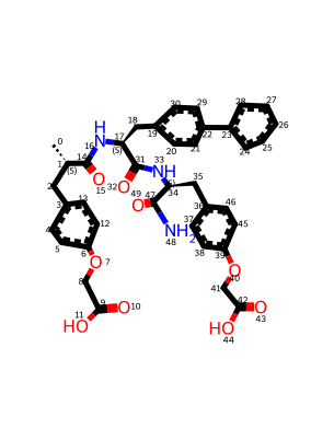 C[C@@H](Cc1ccc(OCC(=O)O)cc1)C(=O)N[C@@H](Cc1ccc(-c2ccccc2)cc1)C(=O)N[C@@H](Cc1ccc(OCC(=O)O)cc1)C(N)=O